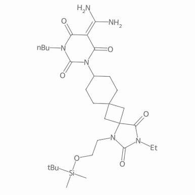 CCCCN1C(=O)C(=C(N)N)C(=O)N(C2CCC3(CC2)CC2(C3)C(=O)N(CC)C(=O)N2CCO[Si](C)(C)C(C)(C)C)C1=O